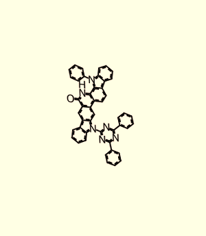 O=c1[nH]c2c(ccc3c4ccccc4n(-c4ccccc4)c32)c2cc3c(cc12)c1ccccc1n3-c1nc(-c2ccccc2)nc(-c2ccccc2)n1